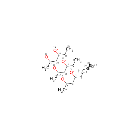 CCC([O-])CC(C)[O-].CCC([O-])CC(C)[O-].CCC([O-])CC(C)[O-].[Rh+3].[Rh+3]